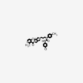 Cc1ccc(N(CCCN2CC3CN(C(=O)c4c(C)ccnc4C)CC3C2)C(=O)Nc2ccc(Cl)cc2)cc1